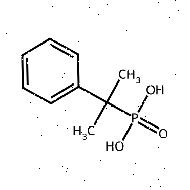 CC(C)(c1ccccc1)P(=O)(O)O